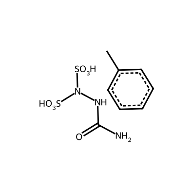 Cc1ccccc1.NC(=O)NN(S(=O)(=O)O)S(=O)(=O)O